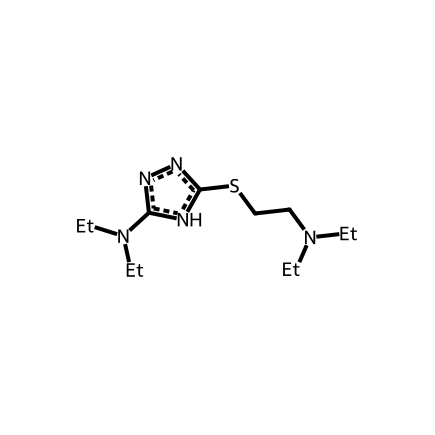 CCN(CC)CCSc1nnc(N(CC)CC)[nH]1